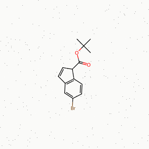 CC(C)(C)OC(=O)C1C=Cc2cc(Br)ccc21